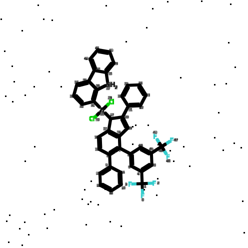 FC(F)(F)c1cc(-c2c(-c3ccccc3)ccc3c2C=C(c2ccccc2)[CH]3[Zr]([Cl])([Cl])[c]2cccc3c2[SiH2]c2ccccc2-3)cc(C(F)(F)F)c1